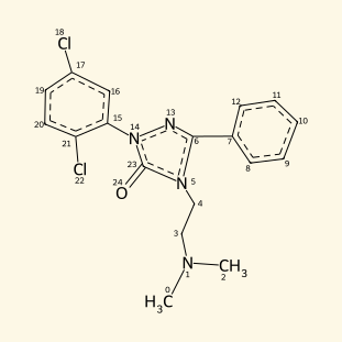 CN(C)CCn1c(-c2ccccc2)nn(-c2cc(Cl)ccc2Cl)c1=O